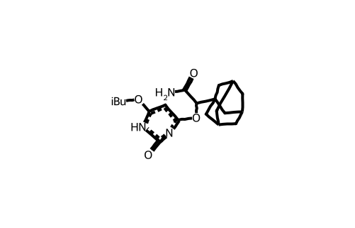 CCC(C)Oc1cc(OC(C(N)=O)C23CC4CC(CC(C4)C2)C3)nc(=O)[nH]1